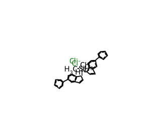 C[SiH](C)[Hf+2]([CH]1C=Cc2cc(-c3ccccc3)ccc21)[CH]1C=Cc2cc(-c3ccccc3)ccc21.[Cl-].[Cl-]